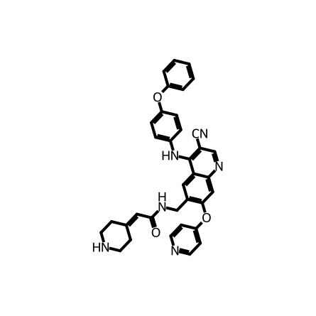 N#Cc1cnc2cc(Oc3ccncc3)c(CNC(=O)C=C3CCNCC3)cc2c1Nc1ccc(Oc2ccccc2)cc1